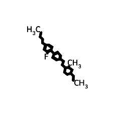 CCCCCc1ccc(-c2ccc(CCC3CCC(CCC)CC3C)cc2)c(F)c1